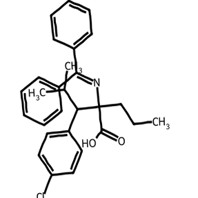 CCCC(N=C(c1ccccc1)c1ccccc1)(C(=O)O)C(c1ccc(Cl)cc1)C(C)C